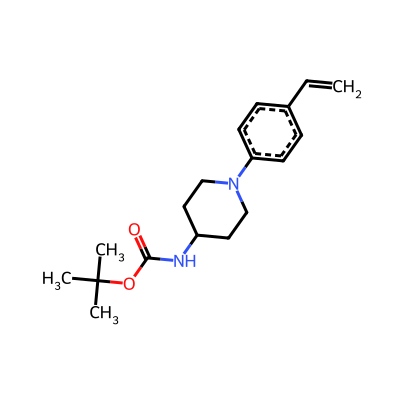 C=Cc1ccc(N2CCC(NC(=O)OC(C)(C)C)CC2)cc1